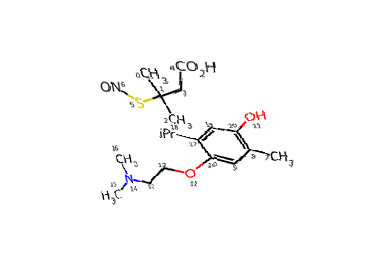 CC(C)(CC(=O)O)SN=O.Cc1cc(OCCN(C)C)c(C(C)C)cc1O